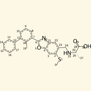 CSc1cc2oc(-c3cccc(-c4ccccc4)c3C)nc2cc1CN[C@@H](C)C(=O)O